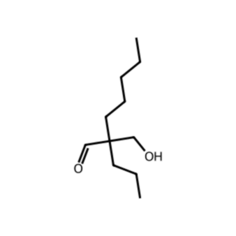 CCCCCC(C=O)(CO)CCC